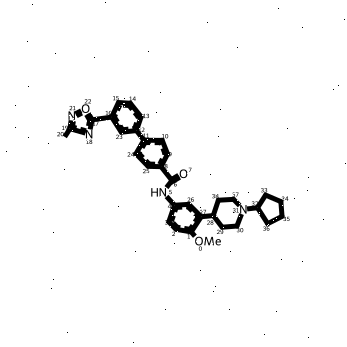 COc1ccc(NC(=O)c2ccc(-c3cccc(-c4nc(C)no4)c3)cc2)cc1C1CCN(C2CCCC2)CC1